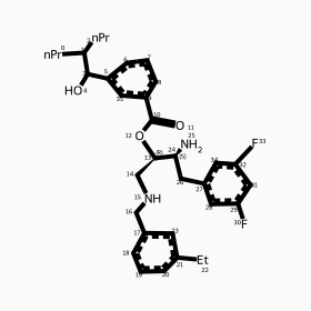 CCCC(CCC)C(O)c1cccc(C(=O)O[C@H](CNCc2cccc(CC)c2)[C@@H](N)Cc2cc(F)cc(F)c2)c1